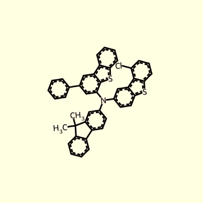 CC1(C)c2ccccc2-c2ccc(N(c3ccc4sc5cccc(Cl)c5c4c3)c3cc(-c4ccccc4)cc4c3sc3ccccc34)cc21